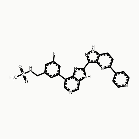 CS(=O)(=O)NCc1cc(F)cc(-c2cncc3[nH]c(-c4n[nH]c5ccc(-c6ccncc6)nc45)nc23)c1